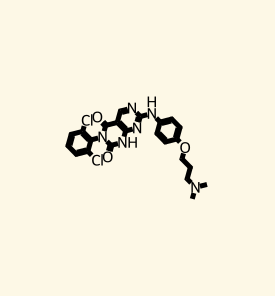 CN(C)CCCOc1ccc(Nc2ncc3c(=O)n(-c4c(Cl)cccc4Cl)c(=O)[nH]c3n2)cc1